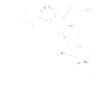 CCP(=O)(CC)Nc1nc(/C(=N/OC)C(=O)N[C@@H]2C(=O)N3C(C(=O)O)=C(COC(C)=O)CS[C@H]23)cs1